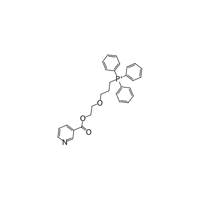 O=C(OCCOCCC[P+](c1ccccc1)(c1ccccc1)c1ccccc1)c1cccnc1